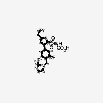 CC(C)Cc1cc(-c2ccc(Cn3ccnc3C(C)C)c(F)c2)c(S(=O)(=O)NC(=O)O)s1